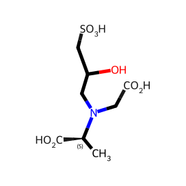 C[C@@H](C(=O)O)N(CC(=O)O)CC(O)CS(=O)(=O)O